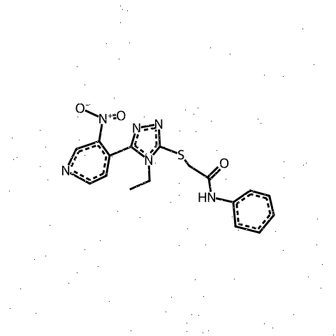 CCn1c(SCC(=O)Nc2ccccc2)nnc1-c1ccncc1[N+](=O)[O-]